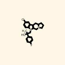 CC(O)(Cn1c2c(c3cc(Cl)ccc31)CC1CCCN1C2)c1ccc(F)cc1